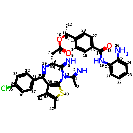 CC(=N)N1C(=N)[C@@H](CC(=O)O[C@H](C)c2ccc(C(=O)Nc3ccccc3N)cc2)N=C(c2ccc(Cl)cc2)c2c1sc(C)c2C